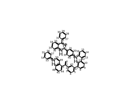 C=C(c1cccc(-c2cccc(-c3ccccc3Nc3ccc(C4N=C(c5ccccc5)c5ccccc5N4)cc3)c2)c1)c1ccccc1/C=C\Nc1ccccc1